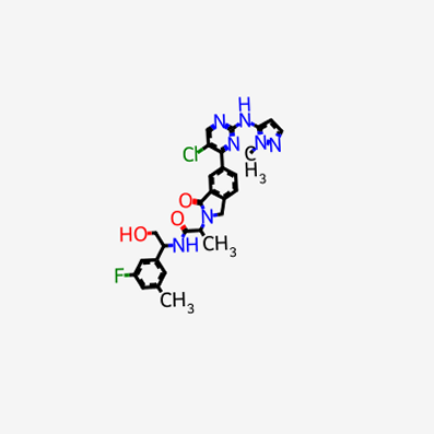 Cc1cc(F)cc(C(CO)NC(=O)C(C)N2Cc3ccc(-c4nc(Nc5ccnn5C)ncc4Cl)cc3C2=O)c1